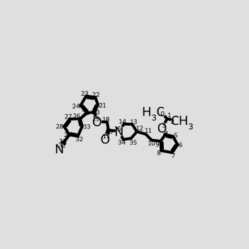 CC(C)Oc1ccccc1CCC1CCN(C(=O)COc2ccccc2-c2ccc(C#N)cc2)CC1